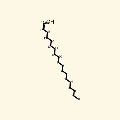 CCCCCCCCCCCCCCCCC/C=[C]\O